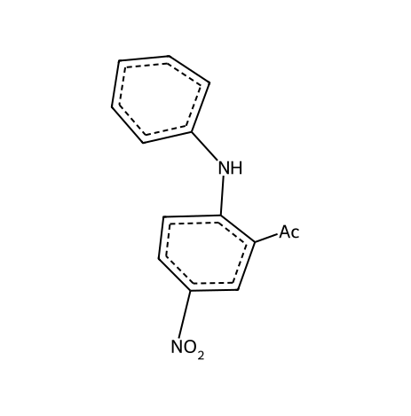 CC(=O)c1cc([N+](=O)[O-])ccc1Nc1ccccc1